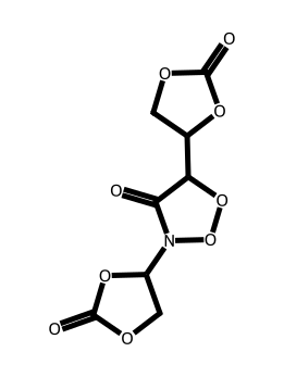 O=C1OCC(C2OON(C3COC(=O)O3)C2=O)O1